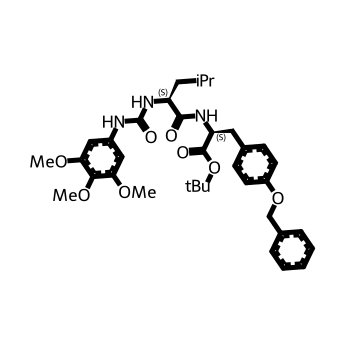 COc1cc(NC(=O)N[C@@H](CC(C)C)C(=O)N[C@@H](Cc2ccc(OCc3ccccc3)cc2)C(=O)OC(C)(C)C)cc(OC)c1OC